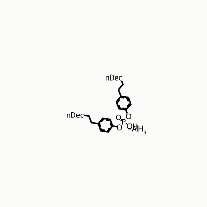 CCCCCCCCCCCCc1ccc(OP(=O)(O)Oc2ccc(CCCCCCCCCCCC)cc2)cc1.[AlH3]